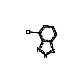 Clc1cccc2snnc12